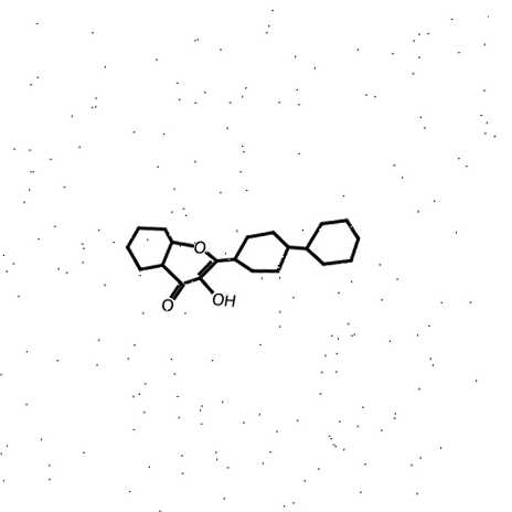 O=C1C(O)=C(C2CCC(C3CCCCC3)CC2)OC2CCCCC12